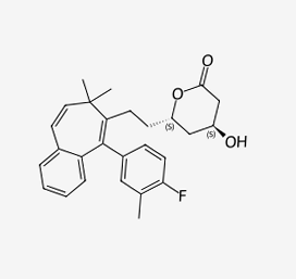 Cc1cc(C2=C(CC[C@H]3C[C@H](O)CC(=O)O3)C(C)(C)C=Cc3ccccc32)ccc1F